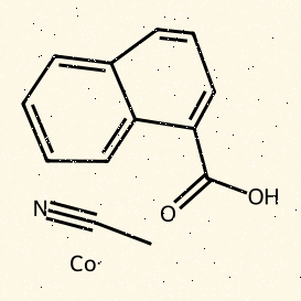 CC#N.O=C(O)c1cccc2ccccc12.[Co]